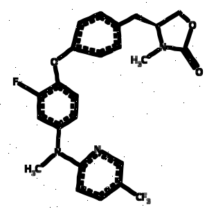 CN(c1ccc(Oc2ccc(C[C@H]3COC(=O)N3C)cc2)c(F)c1)c1ccc(C(F)(F)F)cn1